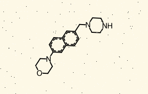 c1cc2cc(N3CCOCC3)ccc2cc1CN1CCNCC1